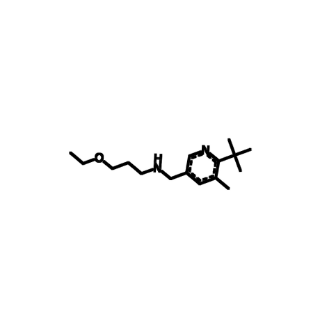 CCOCCCNCc1cnc(C(C)(C)C)c(C)c1